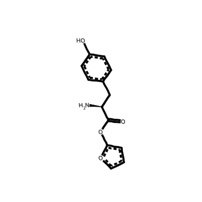 N[C@@H](Cc1ccc(O)cc1)C(=O)Oc1ccco1